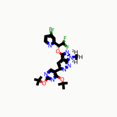 [2H]C([2H])([2H])n1nc(O[C@H](c2cc(Br)ccn2)C(F)F)c2cc(-c3cnc(OC(C)(C)C)nc3OC(C)(C)C)nnc21